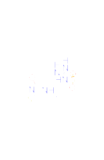 CS(=O)(=O)NC(=N)NCC[C@H](N)C(=O)N1CCSC1